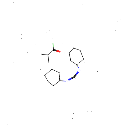 C(=NC1CCCCC1)=NC1CCCCC1.CC(C)C(=O)Cl